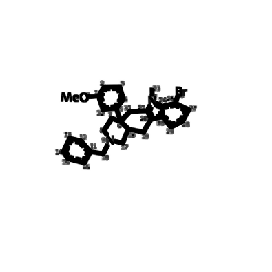 COc1cccc(C23CCN(Cc4ccccc4)CC2Cc2c(n(C)c4c(Br)cccc24)C3)c1